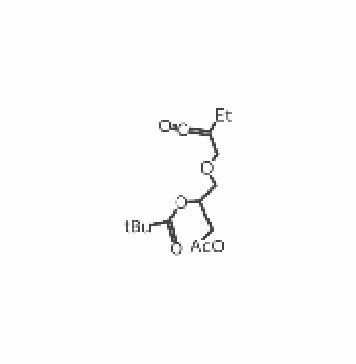 CCC(=C=O)COCC(COC(C)=O)OC(=O)C(C)(C)C